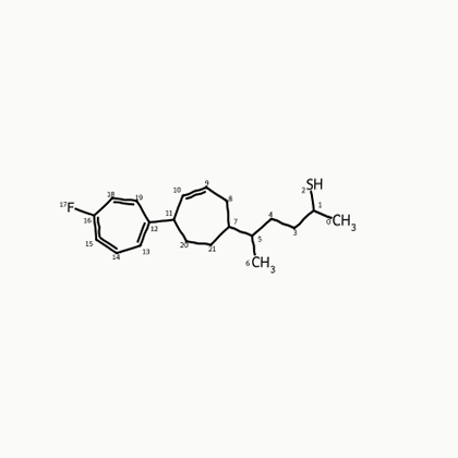 CC(S)CCC(C)C1CC=CC(C2=CC=C=C(F)C=C2)CC1